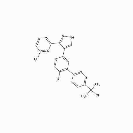 Cc1cccc(-c2n[nH]cc2-c2ccc(F)c(-c3ccc(C(C)(O)C(F)(F)F)cn3)c2)n1